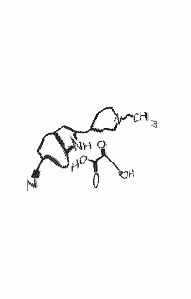 CCN1CCC(c2cc3ccc(C#N)cc3[nH]2)CC1.O=C(O)C(=O)O